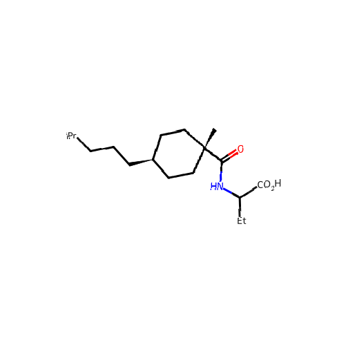 CCC(NC(=O)[C@]1(C)CC[C@@H](CCCC(C)C)CC1)C(=O)O